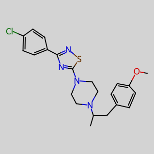 COc1ccc(CC(C)N2CCN(c3nc(-c4ccc(Cl)cc4)ns3)CC2)cc1